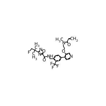 C=CC(=O)N(C)CCOc1cnccc1-c1ccc(CNC(=O)c2nc(C(C)(C)CF)no2)c(C(F)(F)F)c1